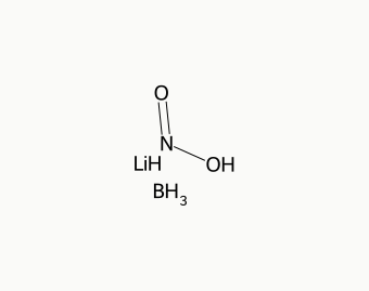 B.O=NO.[LiH]